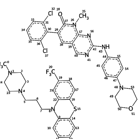 CN1CCN(CCCN2c3ccccc3Sc3ccc(C(F)(F)F)cc32)CC1.Cn1c(=O)c(-c2c(Cl)cccc2Cl)cc2cnc(Nc3ccc(N4CCOCC4)cc3)nc21